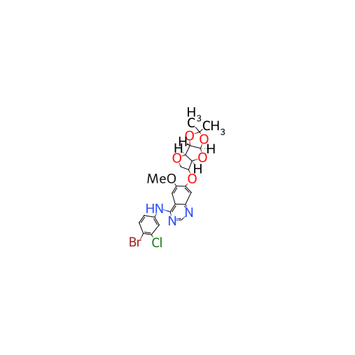 COc1cc2c(Nc3ccc(Br)c(Cl)c3)ncnc2cc1OC1CO[C@H]2[C@@H]3OC(C)(C)O[C@H]3O[C@@H]12